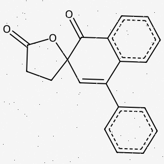 O=C1CCC2(C=C(c3ccccc3)c3ccccc3C2=O)O1